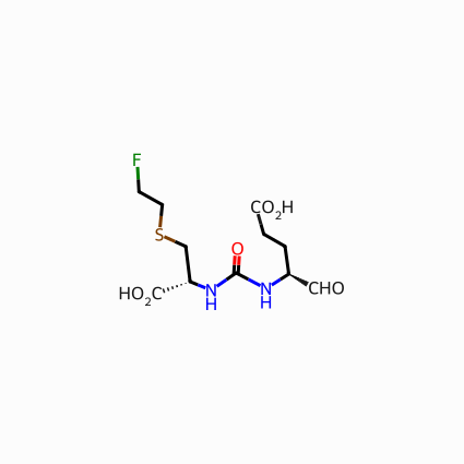 O=C[C@H](CCC(=O)O)NC(=O)N[C@@H](CSCCF)C(=O)O